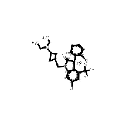 CCN(CC)C1CC(CN2C(=O)[C@@](O)(c3c(F)cccc3Cl)c3c2cc(I)cc3C(F)(F)F)C1